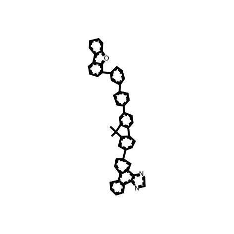 CC1(C)c2cc(-c3ccc(-c4cccc(-c5cccc6c5oc5ccccc56)c4)cc3)ccc2-c2ccc(-c3ccc4c5ccccc5c5nccnc5c4c3)cc21